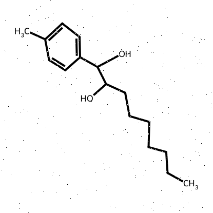 CCCCCCCC(O)C(O)c1ccc(C)cc1